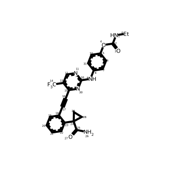 CCNC(=O)Oc1ccc(Nc2ncc(C(F)(F)F)c(C#Cc3ccccc3C3(C(N)=O)CC3)n2)cc1